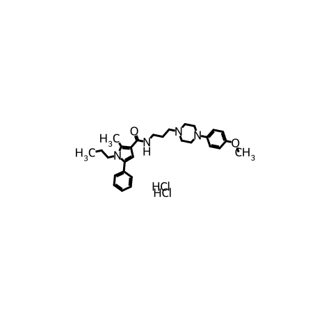 CCCn1c(-c2ccccc2)cc(C(=O)NCCCN2CCN(c3ccc(OC)cc3)CC2)c1C.Cl.Cl